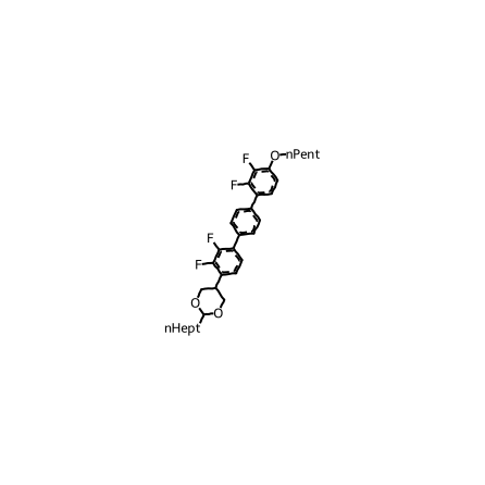 CCCCCCCC1OCC(c2ccc(-c3ccc(-c4ccc(OCCCCC)c(F)c4F)cc3)c(F)c2F)CO1